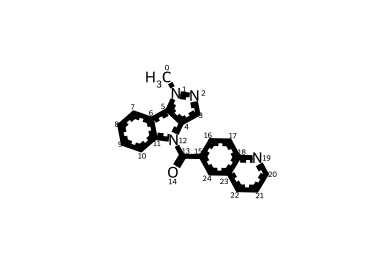 Cn1ncc2c1c1ccccc1n2C(=O)c1ccc2ncccc2c1